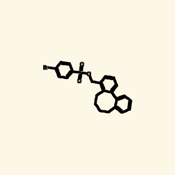 O=S(=O)(OCc1cccc2c1CCCCc1ccccc1-2)c1ccc(Br)cc1